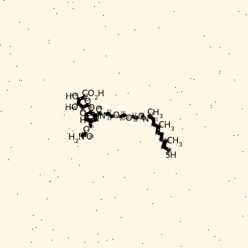 C/C(=C\CS)CC/C=C(\C)CC/C(C)=N/OCCOCCOCCNC(=O)c1cc(COC(N)=O)ccc1O[C@@H]1O[C@H](C(=O)O)[C@@H](O)[C@H](O)[C@H]1O